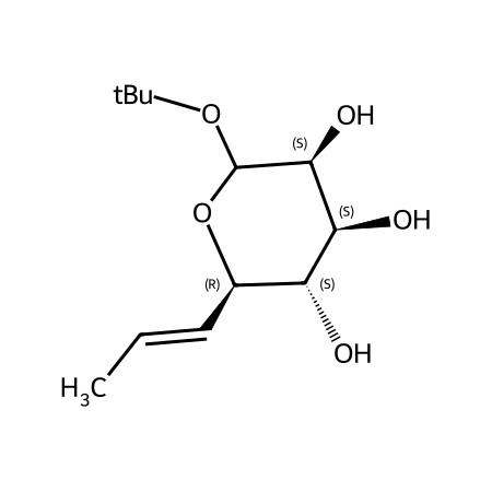 CC=C[C@H]1OC(OC(C)(C)C)[C@@H](O)[C@@H](O)[C@@H]1O